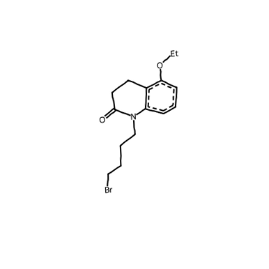 CCOc1cccc2c1CCC(=O)N2CCCCBr